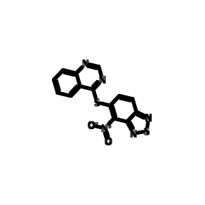 O=[N+]([O-])c1c(Sc2ncnc3ccccc23)ccc2nsnc12